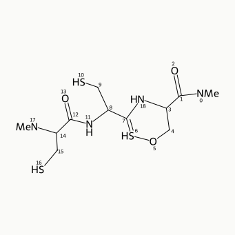 CNC(=O)C1CO[SH]=C(C(CS)NC(=O)C(CS)NC)N1